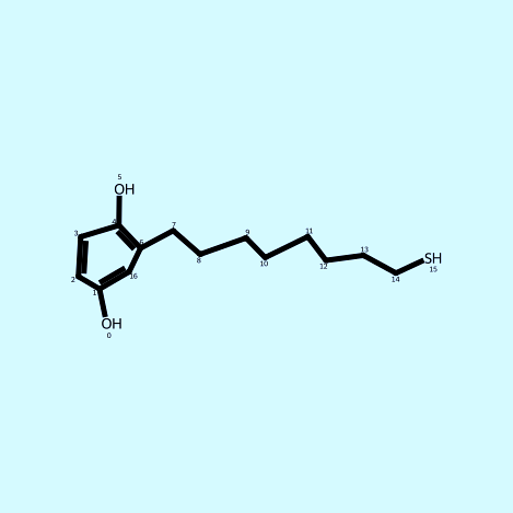 Oc1ccc(O)c(CCCCCCCCS)c1